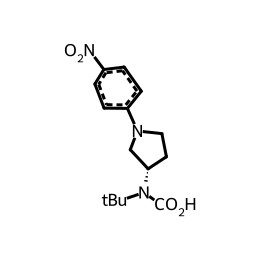 CC(C)(C)N(C(=O)O)[C@H]1CCN(c2ccc([N+](=O)[O-])cc2)C1